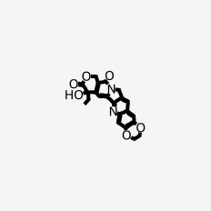 CCC1(O)C(=O)OCc2c1cc1n(c2=O)Cc2cc3cc4c(cc3nc2-1)OCCO4